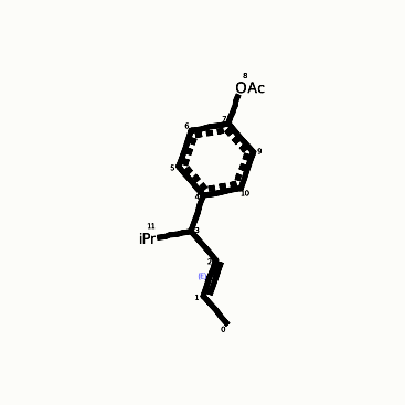 C/C=C/C(c1ccc(OC(C)=O)cc1)C(C)C